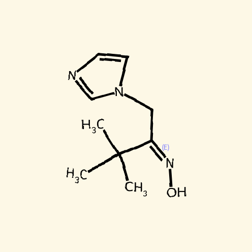 CC(C)(C)/C(Cn1ccnc1)=N\O